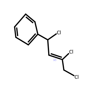 ClC/C(Cl)=C/C(Cl)c1ccccc1